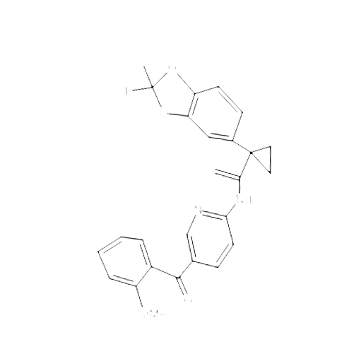 COc1ccccc1C(=O)c1ccc(NC(=O)C2(c3ccc4c(c3)OC(F)(F)O4)CC2)nc1